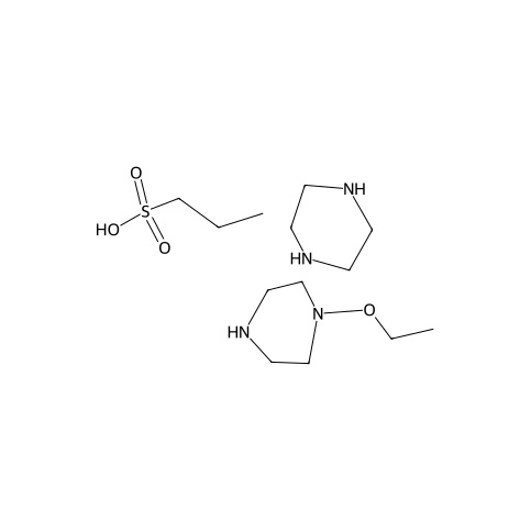 C1CNCCN1.CCCS(=O)(=O)O.CCON1CCNCC1